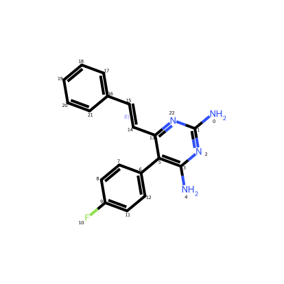 Nc1nc(N)c(-c2ccc(F)cc2)c(/C=C/c2ccccc2)n1